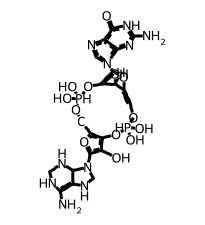 NC1=C2NCN(c3oc4c(c3O)O[PH](O)(O)O/C=C3/OC(n5cnc6c(=O)[nH]c(N)nc65)=C(O[PH](O)(O)OC4)[C@@H]3O)C2NCN1